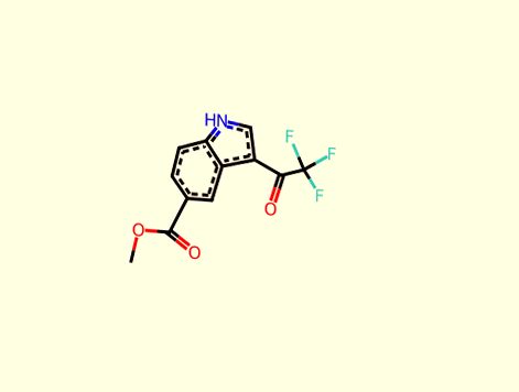 COC(=O)c1ccc2[nH]cc(C(=O)C(F)(F)F)c2c1